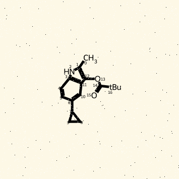 Cc1[nH]c2ccc(C3CC3)cc2c1OC(=O)C(C)(C)C